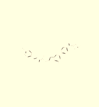 CC1(F)CN(C(=O)c2ccc(-c3cc(Cl)c4oc(CNC(=O)/C=C/c5ccc(N)nc5)cc4c3)cc2)C1